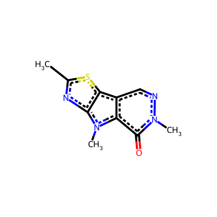 Cc1nc2c(s1)c1cnn(C)c(=O)c1n2C